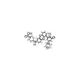 O=C(O)N1CCC(Nc2ccc3c(c2)Sc2cccc(-c4cc(N5CCOCC5)cc(=O)[nH]4)c2O3)CC1